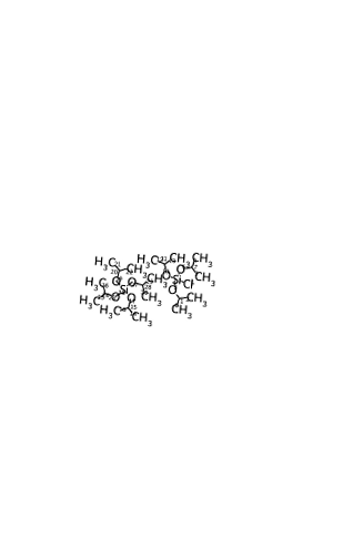 CC(C)O[Si](Cl)(OC(C)C)OC(C)C.CC(C)O[Si](OC(C)C)(OC(C)C)OC(C)C